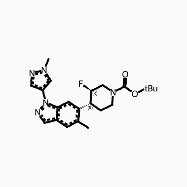 Cc1cc2cnn(-c3cnn(C)c3)c2cc1[C@H]1CCN(C(=O)OC(C)(C)C)C[C@@H]1F